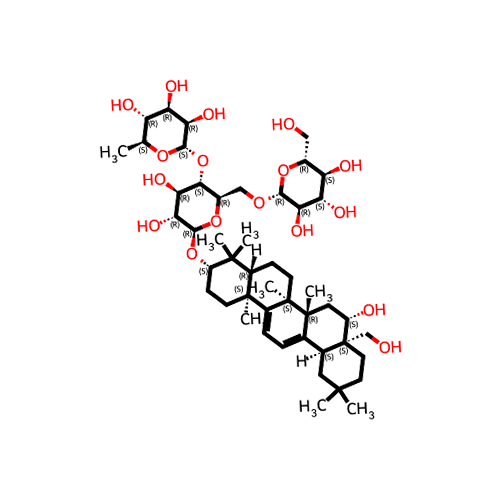 C[C@@H]1O[C@@H](O[C@H]2[C@H](O)[C@@H](O)[C@H](O[C@H]3CC[C@]4(C)C5=CC=C6[C@@H]7CC(C)(C)CC[C@]7(CO)[C@@H](O)C[C@@]6(C)[C@]5(C)CC[C@H]4C3(C)C)O[C@@H]2CO[C@@H]2O[C@H](CO)[C@@H](O)[C@H](O)[C@H]2O)[C@H](O)[C@H](O)[C@H]1O